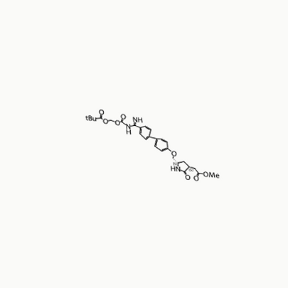 COC(=O)C[C@@H]1C[C@@H](COc2ccc(-c3ccc(C(=N)NC(=O)OCOC(=O)C(C)(C)C)cc3)cc2)NC1=O